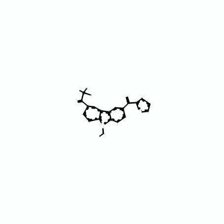 CCn1c2ccc(C(=O)c3cccs3)cc2c2cc(C(=O)C(F)(F)F)ccc21